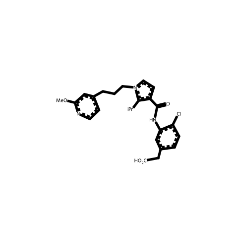 COc1cc(CCCn2ccc(C(=O)Nc3cc(CC(=O)O)ccc3Cl)c2C(C)C)ccn1